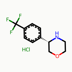 Cl.FC(F)(F)c1ccc([C@H]2COCCN2)cc1